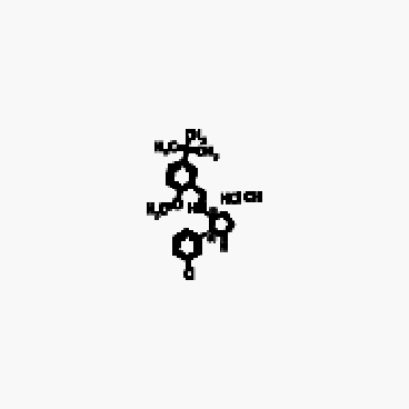 COc1ccc(C(C)(C)C)cc1CN[C@@H]1CCN[C@@H]1c1cccc(Cl)c1.Cl.Cl